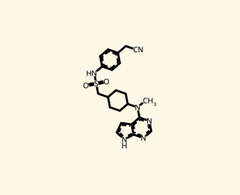 CN(c1ncnc2[nH]ccc12)C1CCC(CS(=O)(=O)Nc2ccc(CC#N)cc2)CC1